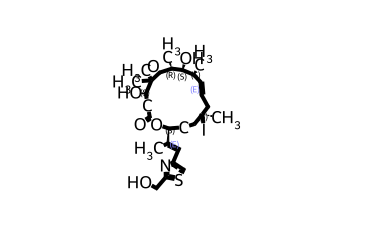 C/C(=C\c1csc(CO)n1)[C@@H]1CC[C@](C)(I)C/C=C/[C@H](C)[C@H](O)[C@@H](C)C(=O)C(C)(C)[C@@H](O)CC(=O)O1